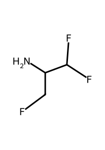 NC(CF)C(F)F